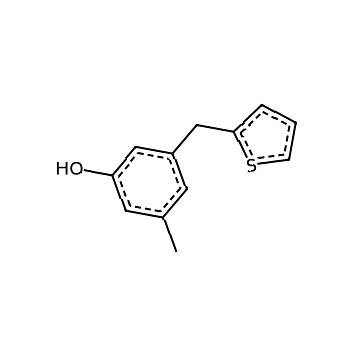 Cc1cc(O)cc(Cc2cccs2)c1